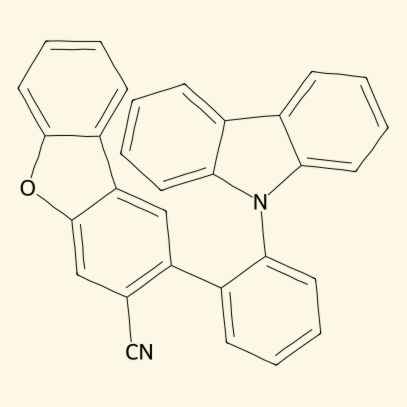 N#Cc1cc2oc3ccccc3c2cc1-c1ccccc1-n1c2ccccc2c2ccccc21